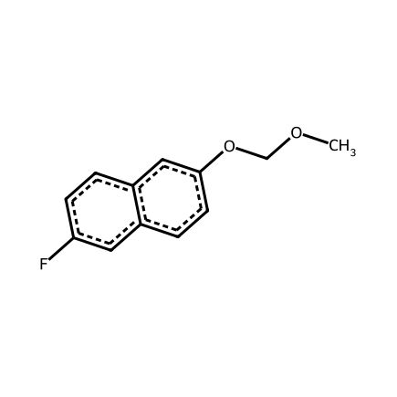 COCOc1ccc2cc(F)ccc2c1